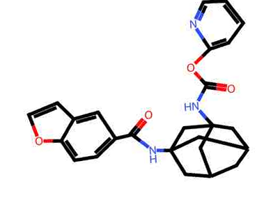 O=C(NC12CC3CC(C1)CC(NC(=O)c1ccc4occc4c1)(C3)C2)Oc1ccccn1